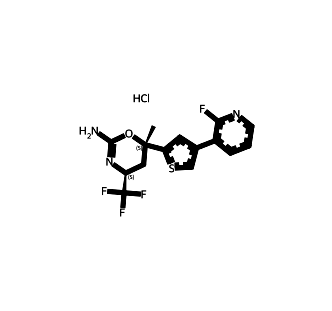 C[C@@]1(c2cc(-c3cccnc3F)cs2)C[C@@H](C(F)(F)F)N=C(N)O1.Cl